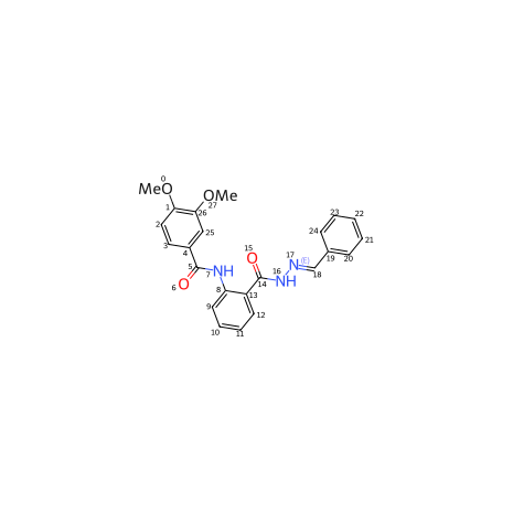 COc1ccc(C(=O)Nc2ccccc2C(=O)N/N=C/c2ccccc2)cc1OC